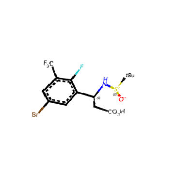 CC(C)(C)[S@@+]([O-])N[C@@H](CC(=O)O)c1cc(Br)cc(C(F)(F)F)c1F